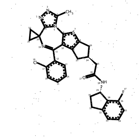 Cc1nnc2n1-c1sc3c(c1C(c1ccccc1Cl)=NC21CC1)C[C@H](CC(=O)N[C@H]1CCc2cccc(F)c21)C3